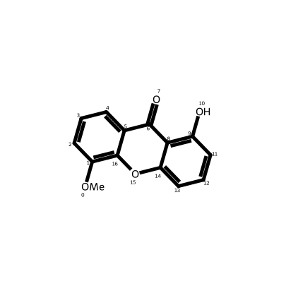 COc1cccc2c(=O)c3c(O)cccc3oc12